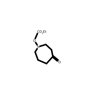 CCOC(=O)ON1CCCC(=O)CC1